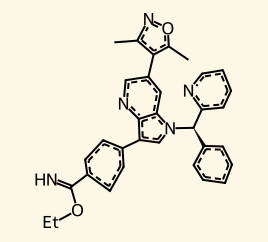 CCOC(=N)c1ccc(-c2cn([C@H](c3ccccc3)c3ccccn3)c3cc(-c4c(C)noc4C)cnc23)cc1